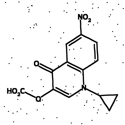 O=C(O)Oc1cn(C2CC2)c2ccc([N+](=O)[O-])cc2c1=O